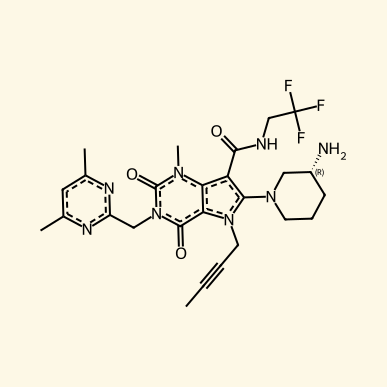 CC#CCn1c(N2CCC[C@@H](N)C2)c(C(=O)NCC(F)(F)F)c2c1c(=O)n(Cc1nc(C)cc(C)n1)c(=O)n2C